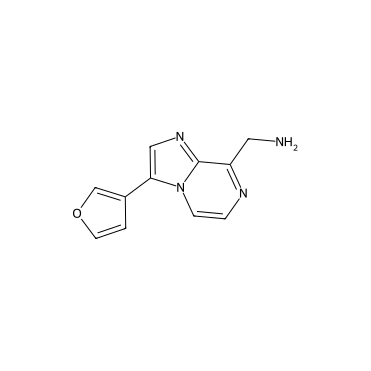 NCc1nccn2c(-c3ccoc3)cnc12